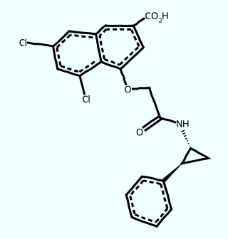 O=C(COc1cc(C(=O)O)cc2cc(Cl)cc(Cl)c12)N[C@@H]1C[C@H]1c1ccccc1